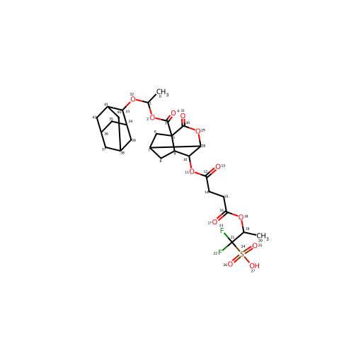 CC(OC(=O)C12CC3CC1C(OC(=O)CCC(=O)OC(C)C(F)(F)S(=O)(=O)O)C3OC2=O)OC1C2CC3CC(C2)CC1C3